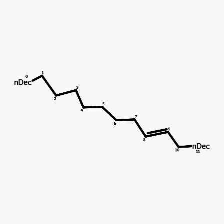 [CH2]CCCCCCCCCCCCCCCCC=CCCCCCCCCCCC